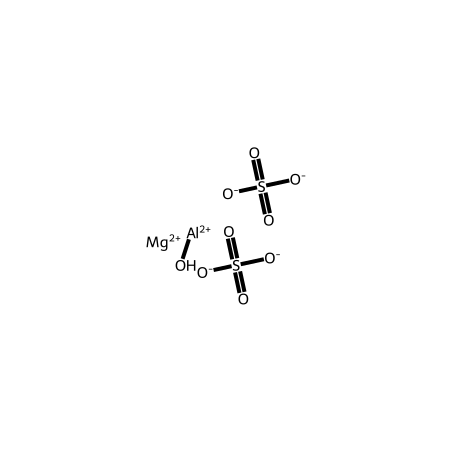 O=S(=O)([O-])[O-].O=S(=O)([O-])[O-].[Mg+2].[OH][Al+2]